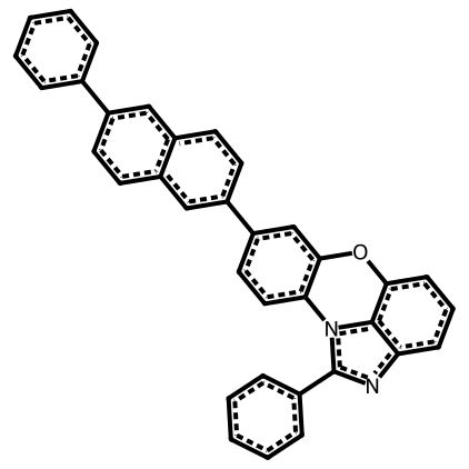 c1ccc(-c2ccc3cc(-c4ccc5c(c4)Oc4cccc6nc(-c7ccccc7)n-5c46)ccc3c2)cc1